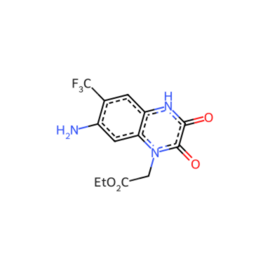 CCOC(=O)Cn1c(=O)c(=O)[nH]c2cc(C(F)(F)F)c(N)cc21